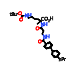 CCCc1ccc(-c2ccc(C(=O)NCCC(=O)N[C@@](C)(CCCCNC(=O)OC(C)(C)C)C(=O)O)cc2)cc1